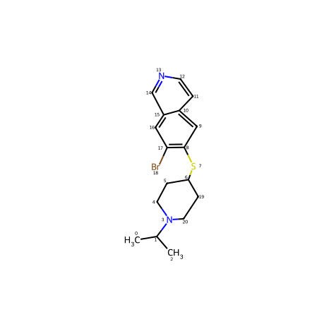 CC(C)N1CCC(Sc2cc3ccncc3cc2Br)CC1